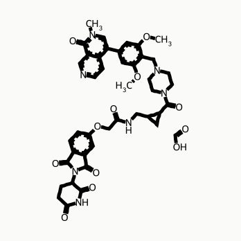 COc1cc(-c2cn(C)c(=O)c3cnccc23)cc(OC)c1CN1CCN(C(=O)C2CC2CNC(=O)COc2ccc3c(c2)C(=O)N(C2CCC(=O)NC2=O)C3=O)CC1.O=CO